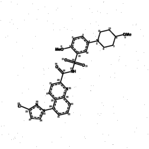 COc1ccc(N2CCC(OC)CC2)cc1S(=O)(=O)NC(=O)c1ccc2c(-n3ccc(Cl)n3)cccc2n1